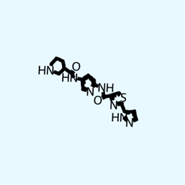 O=C(Nc1ccc(NC(=O)C2CCCNC2)cn1)c1csc(-c2ccn[nH]2)n1